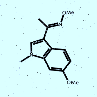 CON=C(C)c1cn(C)c2cc(OC)ccc12